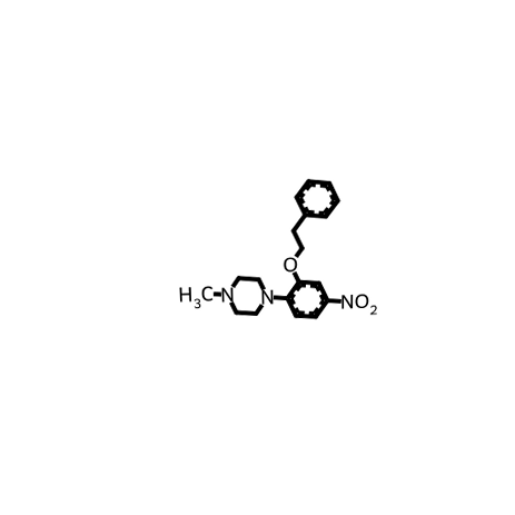 CN1CCN(c2ccc([N+](=O)[O-])cc2OCCc2ccccc2)CC1